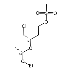 CCO[C@H](C)O[C@H](CCl)CCOS(C)(=O)=O